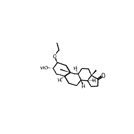 CCO[C@H]1C[C@@]2(C)[C@@H](CC[C@@H]3[C@@H]2CC[C@]2(C)C(=O)CC[C@@H]32)C[C@@H]1O